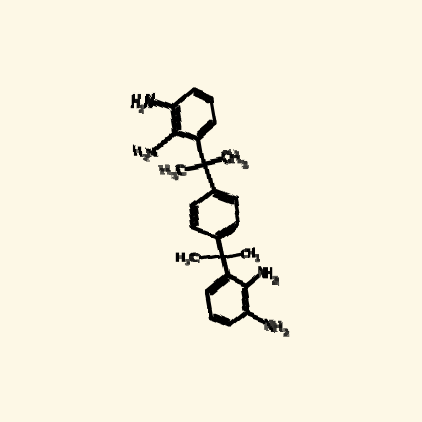 CC(C)(c1ccc(C(C)(C)c2cccc(N)c2N)cc1)c1cccc(N)c1N